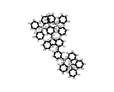 c1ccc([Si](c2ccccc2)(c2ccccc2)c2cc(-n3c4ccccc4c4c(-c5cccc(N6c7ccccc7[Si](c7ccccc7)(c7ccccc7)c7ccccc76)c5)cccc43)cc([Si](c3ccccc3)(c3ccccc3)c3ccccc3)c2)cc1